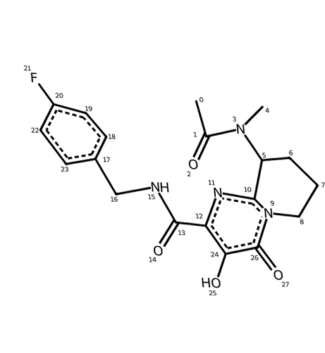 CC(=O)N(C)C1CCCn2c1nc(C(=O)NCc1ccc(F)cc1)c(O)c2=O